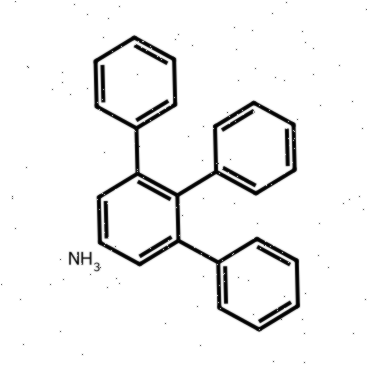 N.c1ccc(-c2cccc(-c3ccccc3)c2-c2ccccc2)cc1